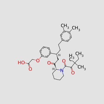 CCC(C)(C)C(=O)C(=O)N1CCCC[C@H]1C(=O)C[C@H](CCc1ccc(C)c(C)c1)c1cccc(OCC(=O)O)c1